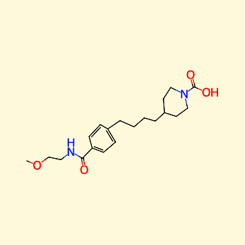 COCCNC(=O)c1ccc(CCCCC2CCN(C(=O)O)CC2)cc1